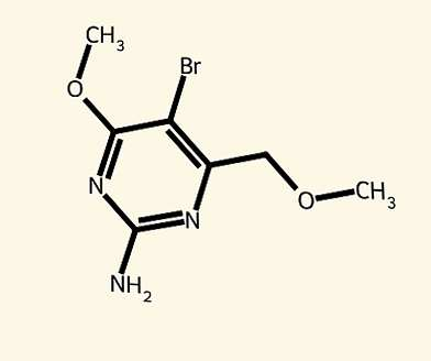 COCc1nc(N)nc(OC)c1Br